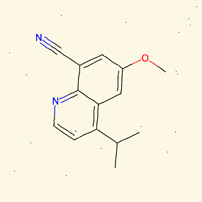 COc1cc(C#N)c2nccc(C(C)C)c2c1